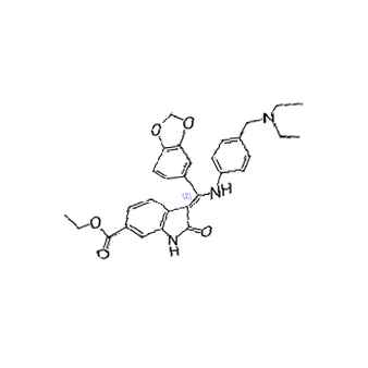 CCOC(=O)c1ccc2c(c1)NC(=O)/C2=C(\Nc1ccc(CN(CC)CC)cc1)c1ccc2c(c1)OCO2